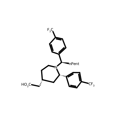 CCCCC[C@H](c1ccc(C(F)(F)F)cc1)N1CC[C@@H](CC(=O)O)C[C@H]1c1ccc(C(F)(F)F)cc1